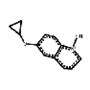 O[n+]1cccc2cc(OC3CC3)ccc21